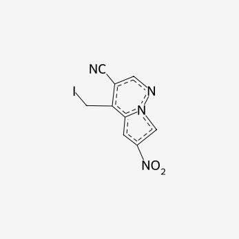 N#Cc1cnn2cc([N+](=O)[O-])cc2c1CI